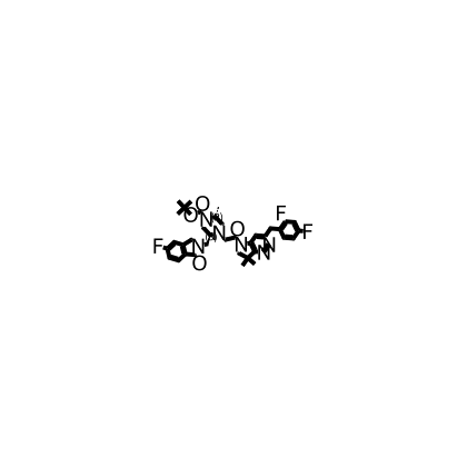 C[C@@H]1CN(CC(=O)N2CC(C)(C)c3nnc(Cc4ccc(F)cc4F)cc32)[C@@H](CN2Cc3cc(F)ccc3C2=O)CN1C(=O)OC(C)(C)C